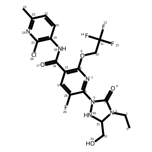 CCN1C(=O)N(c2nc(OCC(F)(F)F)c(C(=O)Nc3ccc(C)nc3Cl)cc2F)NC1CO